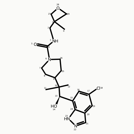 CC1(CNC(=O)N2CCC(C(C)(C)[C@H](O)c3cc(Cl)cc4cn[nH]c34)CC2)COC1